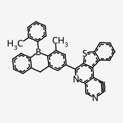 Cc1ccccc1B1c2ccccc2Cc2cc(-c3nc4cnc#cc4c4c3sc3ccccc34)cc(C)c21